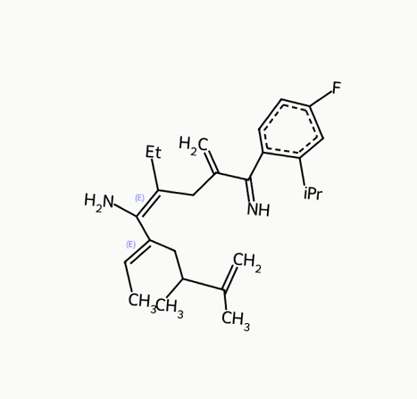 C=C(C/C(CC)=C(N)\C(=C\C)CC(C)C(=C)C)C(=N)c1ccc(F)cc1C(C)C